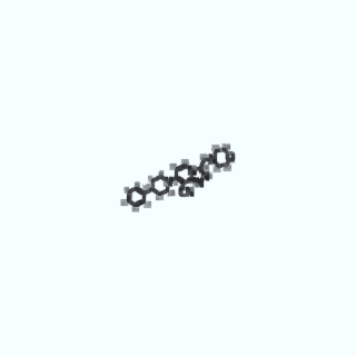 N#Cc1c(N2CCC(c3ccccc3)CC2)ccn2c(CN3CCOCC3)nnc12